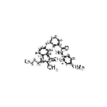 COc1ccc(NC(=O)c2cccc(Cc3ccc4c(c3)c(C)c(C)n4CCCCl)c2)cc1